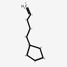 C=CCCCC1CCCC1